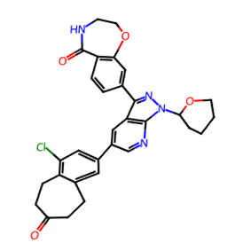 O=C1CCc2cc(-c3cnc4c(c3)c(-c3ccc5c(c3)OCCNC5=O)nn4C3CCCCO3)cc(Cl)c2CC1